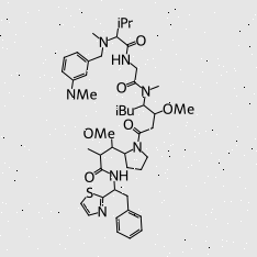 CCC(C)C(C(CC(=O)N1CCCC1C(OC)C(C)C(=O)NC(Cc1ccccc1)c1nccs1)OC)N(C)C(=O)CNC(=O)C(C(C)C)N(C)Cc1cccc(NC)c1